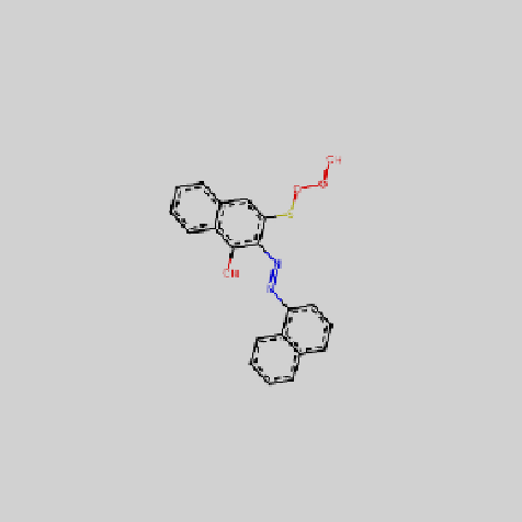 OOOSc1cc2ccccc2c(O)c1N=Nc1cccc2ccccc12